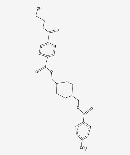 O=C(O)c1ccc(C(=O)OCC2CCC(COC(=O)c3ccc(C(=O)OCCO)cc3)CC2)cc1